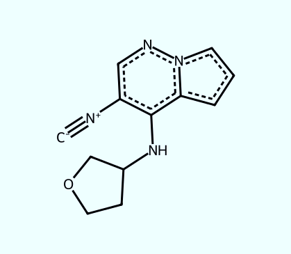 [C-]#[N+]c1cnn2cccc2c1NC1CCOC1